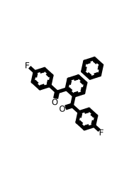 O=C(c1ccc(F)cc1)c1ccccc1C(=O)c1ccc(F)cc1.c1ccccc1